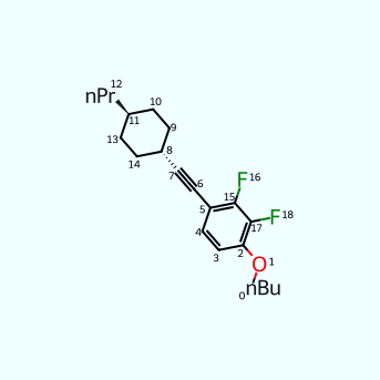 CCCCOc1ccc(C#C[C@H]2CC[C@H](CCC)CC2)c(F)c1F